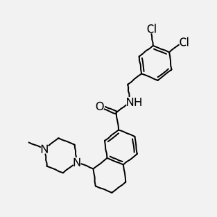 CN1CCN(C2CCCc3ccc(C(=O)NCc4ccc(Cl)c(Cl)c4)cc32)CC1